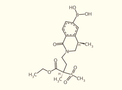 CCOC(=O)[C@@](C)(CCN1C[C@H](C)c2cc(B(O)O)ccc2C1=O)S(C)(=O)=O